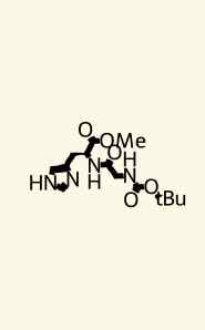 COC(=O)[C@H](Cc1c[nH]cn1)NC(=O)CNC(=O)OC(C)(C)C